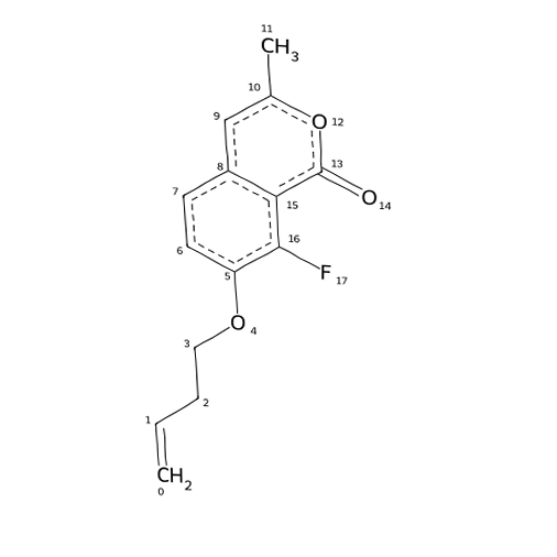 C=CCCOc1ccc2cc(C)oc(=O)c2c1F